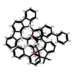 CC1C(C)(C)c2cccc(-c3ccc(-n4c5ccccc5c5ccc6c7ccccc7n(-c7nc(-c8cccc(-c9ccccc9)c8)nc(-c8ccccc8-c8ccccc8)n7)c6c54)cc3)c2C1(C)C